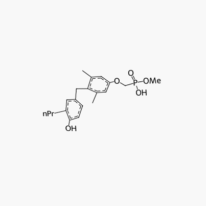 CCCc1cc(Cc2c(C)cc(OCP(=O)(O)OC)cc2C)ccc1O